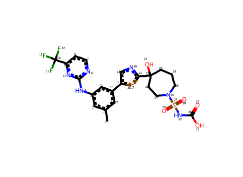 Cc1cc(Nc2nccc(C(F)(F)F)n2)cc(-c2cnc(C3(O)CCCN(S(=O)(=O)NC(=O)O)CC3)s2)c1